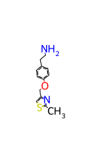 Cc1nc(COc2ccc(CCN)cc2)cs1